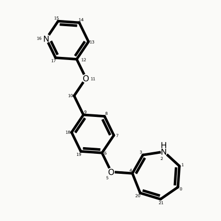 C1=CNC=C(Oc2ccc(COc3cccnc3)cc2)C=C1